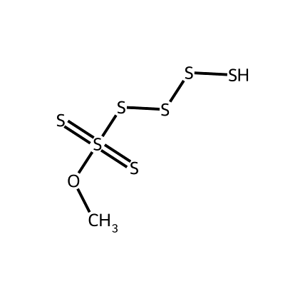 COS(=S)(=S)SSSS